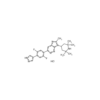 Cc1nc2cc(-c3cc(F)c(-c4cn[nH]c4)cc3F)nnc2n1C1CC(C)(C)NC(C)(C)C1.Cl